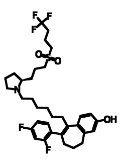 O=S(=O)(CCC[C@@H]1CCCN1CCCCCCC1=C(c2ccc(F)cc2F)CCCc2cc(O)ccc21)CCCC(F)(F)F